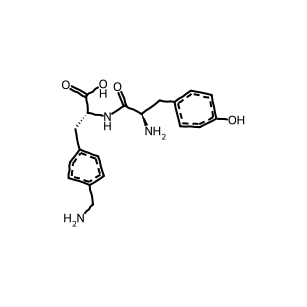 NCc1ccc(C[C@@H](NC(=O)[C@H](N)Cc2ccc(O)cc2)C(=O)O)cc1